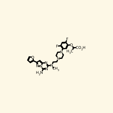 CC(Oc1cc(N2CCN(CCN(C)c3nc(N)n4nc(-c5ccco5)cc4n3)CC2)c(F)cc1F)C(=O)O